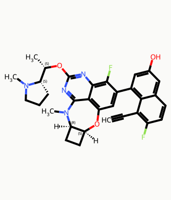 C#Cc1c(F)ccc2cc(O)cc(-c3cc4c5c(nc(O[C@@H](C)[C@@H]6CCCN6C)nc5c3F)N(C)[C@@H]3CC[C@@H]3O4)c12